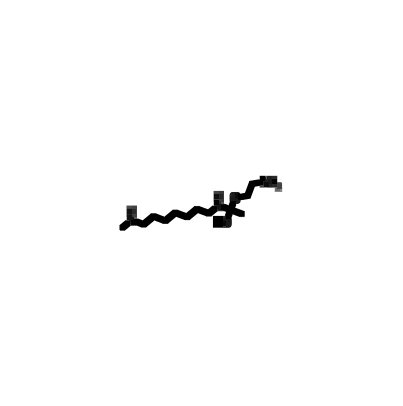 CNCCCCCCCNC(C)(O)OCCN